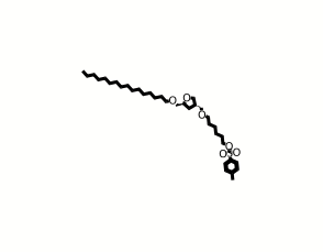 CCCCCCCCCCCCCCCCOC[C@@H]1C[C@@H](COCCCCCCOS(=O)(=O)c2ccc(C)cc2)CO1